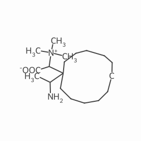 CC(N)C1(C(C(=O)[O-])[N+](C)(C)C)CCCCCCCCCCC1